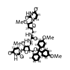 COc1ccc(C(OC[C@H]2O[C@@H](n3ccc(=O)[nH]c3=O)[C@H](OC)[C@@H]2CNC(=O)NC[C@H]2[CH][C@@H](OC)[C@H](n3ccc(=O)[nH]c3=O)O2)(c2ccccc2)c2ccc(OC)cc2)cc1